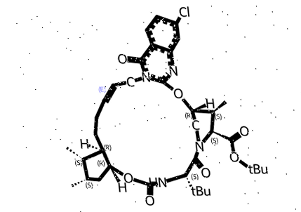 C[C@@H]1[C@@H]2CN(C(=O)[C@H](C(C)(C)C)NC(=O)O[C@@H]3C[C@H](C)[C@H](C)[C@H]3CC/C=C/Cn3c(nc4cc(Cl)ccc4c3=O)O2)[C@@H]1C(=O)OC(C)(C)C